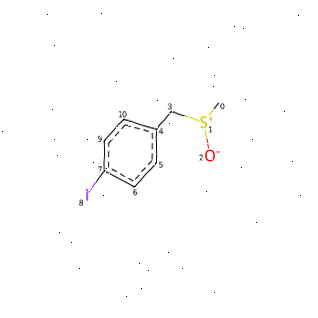 C[S+]([O-])Cc1ccc(I)cc1